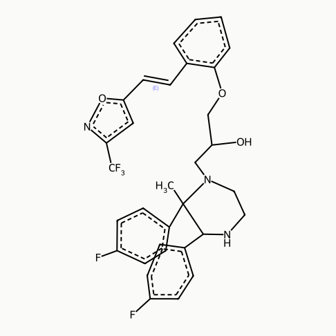 CC1(c2ccc(F)cc2)C(c2ccc(F)cc2)NCCN1CC(O)COc1ccccc1/C=C/c1cc(C(F)(F)F)no1